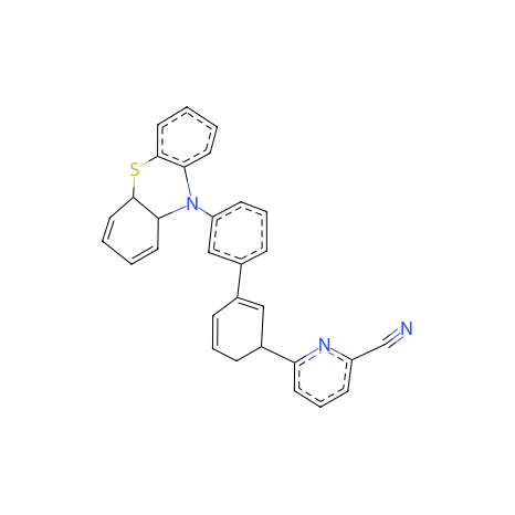 N#Cc1cccc(C2C=C(c3cccc(N4c5ccccc5SC5C=CC=CC54)c3)C=CC2)n1